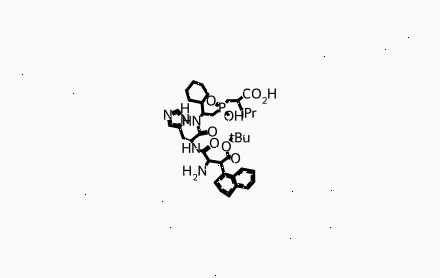 CC(C)C(CP(=O)(O)CC(NC(=O)[C@H](Cc1cnc[nH]1)NC(=O)C(N)C(C(=O)OC(C)(C)C)c1cccc2ccccc12)C1CCCCC1)C(=O)O